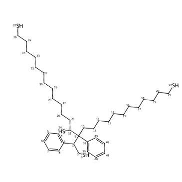 S[CH]C(c1ccccc1)C(CCCCCCCCCCCCS)([C](S)CCCCCCCCCCCCS)c1ccccc1